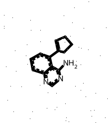 Nc1ncnc2cccc(C3=CCCC3)c12